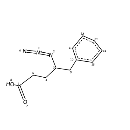 [N-]=[N+]=NC(CCC(=O)O)Cc1ccccc1